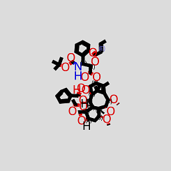 C/C=C/C(=O)O[C@@H](C(=O)O[C@H]1C[C@@]2(O)[C@@H](OC(=O)c3ccccc3)[C@@H]3[C@]4(OC(C)=O)CO[C@@H]4C[C@H](OC)[C@@]3(C)C(=O)[C@H](OC)C(=C1C)C2(C)C)[C@@H](NC(=O)OC(C)(C)C)c1ccccc1